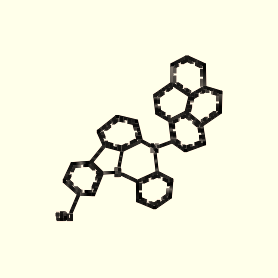 CC(C)(C)c1ccc2c(c1)B1c3ccccc3N(c3ccc4ccc5cccc6ccc3c4c56)c3cccc-2c31